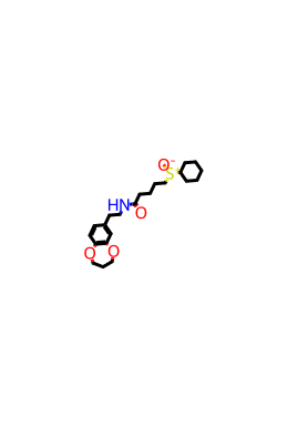 O=C(CCCC[S+]([O-])C1CCCCC1)NCCc1ccc2c(c1)OCCCO2